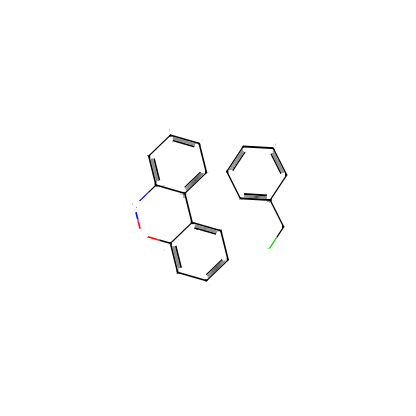 ClCc1ccccc1.c1ccc2c(c1)NOc1ccccc1-2